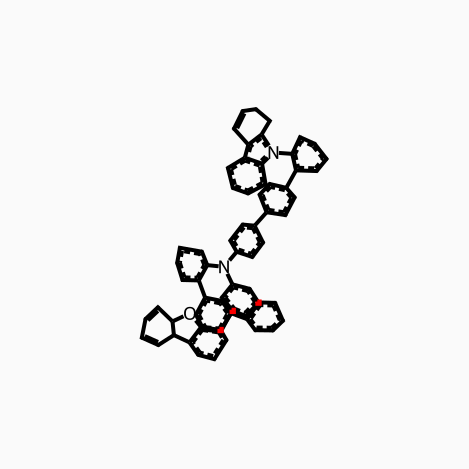 C1=CC2Oc3c(-c4cccc(N(c5ccc(-c6ccc(-c7ccccc7-n7c8c(c9ccccc97)C=CCC8)cc6)cc5)c5ccccc5-c5cccc(-c6ccccc6)c5)c4)cccc3C2C=C1